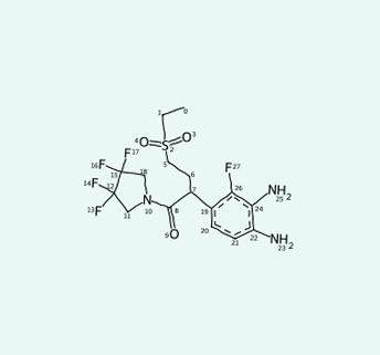 CCS(=O)(=O)CCC(C(=O)N1CC(F)(F)C(F)(F)C1)c1ccc(N)c(N)c1F